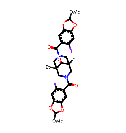 CCC12CN(C(=O)c3cc4c(cc3I)OC(OC)O4)CC(CC)(CN(C(=O)c3cc4c(cc3I)OC(OC)O4)C1)C2=O